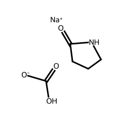 O=C([O-])O.O=C1CCCN1.[Na+]